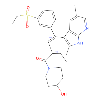 C/C=C(/C=C(/c1cccc(S(=O)(=O)CC)c1)c1c(C)[nH]c2ncc(C)cc12)C(=O)N1CCC(O)CC1